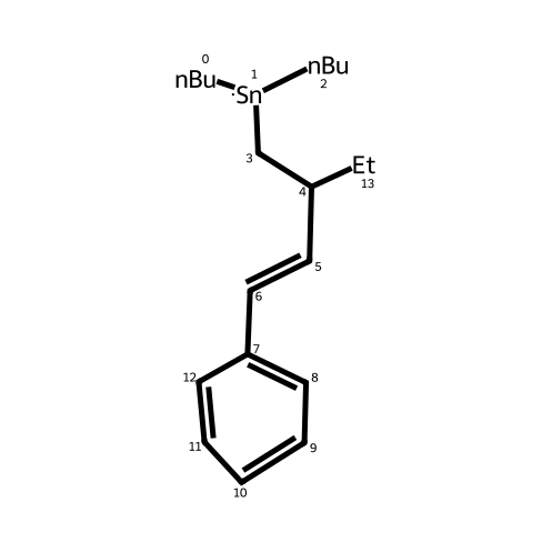 CCC[CH2][Sn]([CH2]CCC)[CH2]C(C=Cc1ccccc1)CC